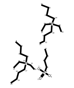 CCCCP(=O)([O-])[O-].CCCC[P+](CC)(CC)CCCC.CCCC[P+](CC)(CC)CCCC